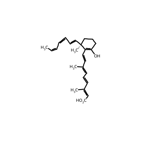 C\C=C/C=C\C=C\[C@@]1(C)CCCC(O)=C1/C=C/C(C)=C/C=C/C(C)=C/C(=O)O